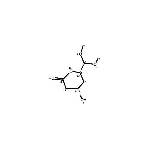 COC(OC)[C@@H]1C[C@H](O)CC(=O)O1